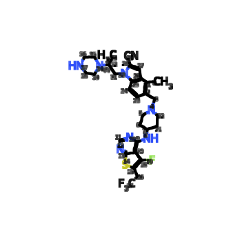 Cc1c(CN2CCC(Nc3ncnc4sc(CC(F)(F)F)c(F)c34)CC2)ccc2c1cc(C#N)n2C[C@H](C)N1CCNCC1